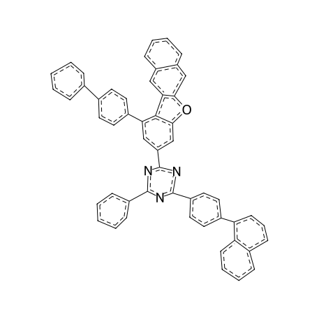 c1ccc(-c2ccc(-c3cc(-c4nc(-c5ccccc5)nc(-c5ccc(-c6cccc7ccccc67)cc5)n4)cc4oc5cc6ccccc6cc5c34)cc2)cc1